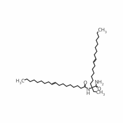 CCCCCCCCC=CCCCCCCCC(=O)NC(CC)(CCCCCCC=CCCCCCCCC)C(N)=O